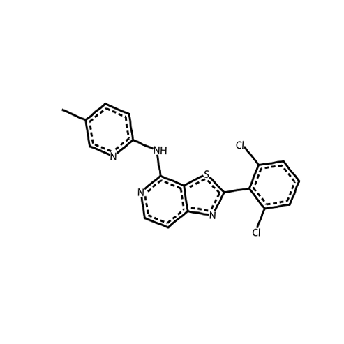 Cc1ccc(Nc2nccc3nc(-c4c(Cl)cccc4Cl)sc23)nc1